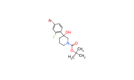 CC(C)(C)OC(=O)N1CCCC(O)(c2ccc(Br)cc2F)C1